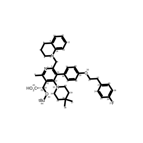 Cc1nc(CN2CCCc3ccccc32)c(-c2ccc(OCCc3ccc(F)cc3)cc2)c(N2CCC(C)(C)CC2)c1[C@H](OC(C)(C)C)C(=O)O